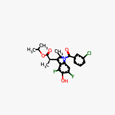 Cc1c([C@@H](C)C(=O)OC(C)C)c2c(F)c(O)c(F)cc2n1C(=O)c1cccc(Cl)c1